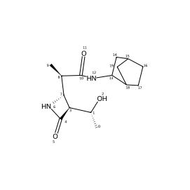 C[C@@H](O)[C@H]1C(=O)N[C@@H]1[C@@H](C)C(=O)NC1CC2CCC1C2